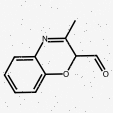 CC1=Nc2ccccc2OC1C=O